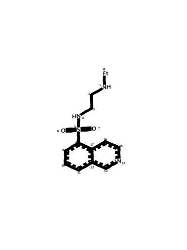 CCNCCNS(=O)(=O)c1cccc2cnccc12